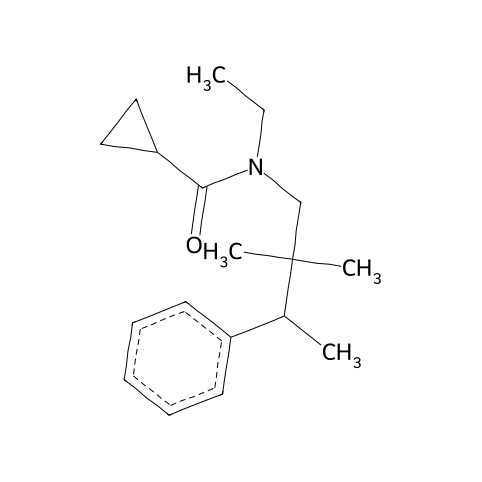 CCN(CC(C)(C)C(C)c1ccccc1)C(=O)C1CC1